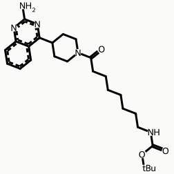 CC(C)(C)OC(=O)NCCCCCCCC(=O)N1CCC(c2nc(N)nc3ccccc23)CC1